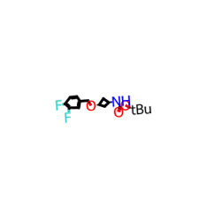 CC(C)(C)OC(=O)N[C@H]1C[C@H](OCc2ccc(F)c(F)c2)C1